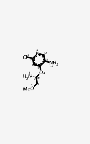 COC[C@H](N)Oc1cc(Cl)ncc1N